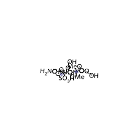 COc1cc(OCCO)ccc1/N=N/c1cc(OCCO)c(N/N=C2\C(=O)c3ccc(N)cc3C=C2S(=O)(=O)O)cc1OC